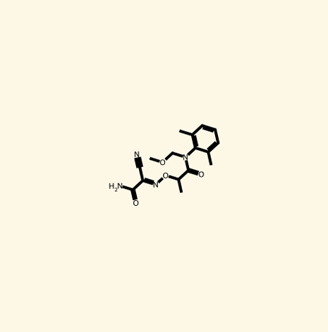 COCN(C(=O)C(C)ON=C(C#N)C(N)=O)c1c(C)cccc1C